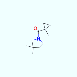 CC1(C)CCN(C(=O)C2(C)CC2)C1